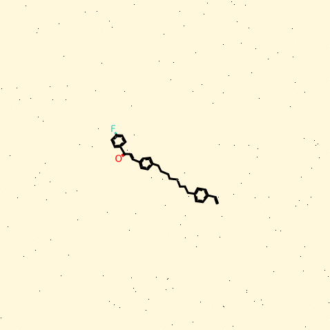 C=Cc1ccc(CCCCCCCCc2ccc(C=CC(=O)c3ccc(F)cc3)cc2)cc1